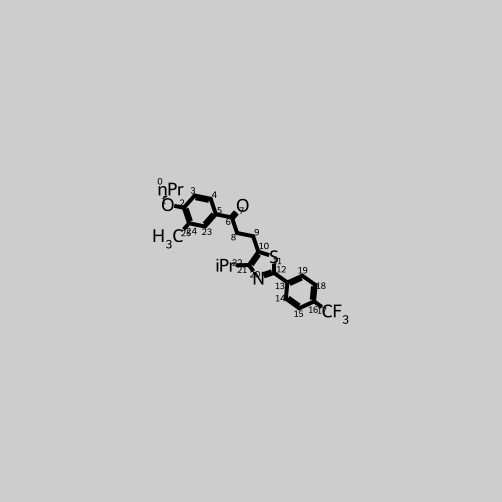 CCCOc1ccc(C(=O)CCc2sc(-c3ccc(C(F)(F)F)cc3)nc2C(C)C)cc1C